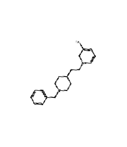 N#CC1=CC=[C]N(CCC2CCN(Cc3ccccc3)CC2)C1